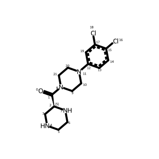 O=C([C@@H]1CNCCN1)N1CCN(c2ccc(Cl)c(Cl)c2)CC1